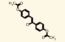 CC(=O)Oc1ccc(C=C(Cl)c2ccc(OC(C)=O)cc2)cc1